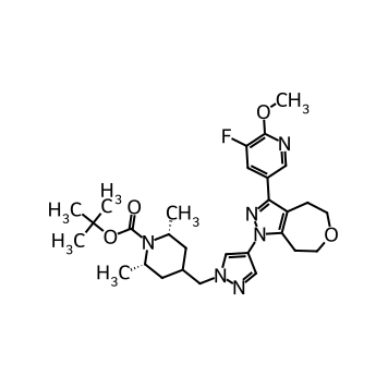 COc1ncc(-c2nn(-c3cnn(CC4C[C@@H](C)N(C(=O)OC(C)(C)C)[C@@H](C)C4)c3)c3c2CCOCC3)cc1F